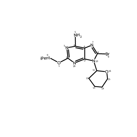 CCCC(C)Oc1nc(N)c2nc(Br)n(C3CCCCO3)c2n1